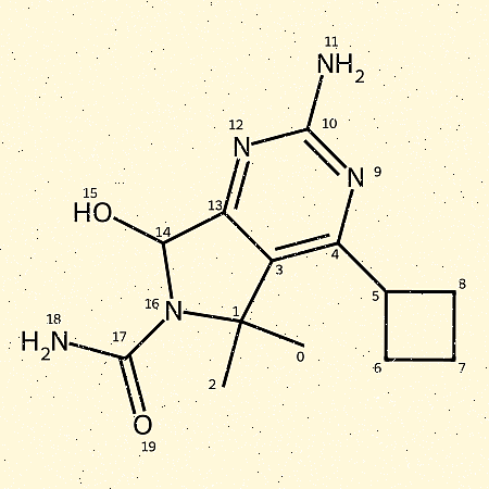 CC1(C)c2c(C3CCC3)nc(N)nc2C(O)N1C(N)=O